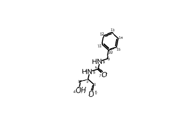 O=C[C@@H](CO)NC(=O)NCc1ccccc1